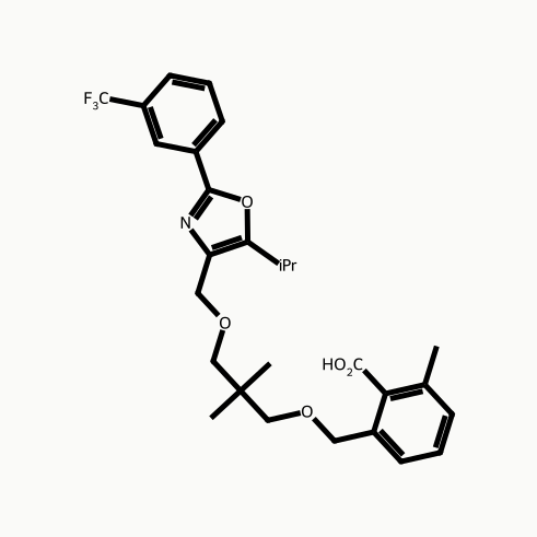 Cc1cccc(COCC(C)(C)COCc2nc(-c3cccc(C(F)(F)F)c3)oc2C(C)C)c1C(=O)O